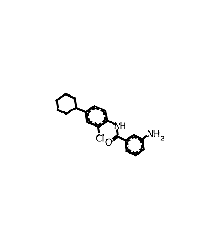 Nc1cccc(C(=O)Nc2ccc(C3CCCCC3)cc2Cl)c1